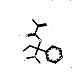 C=C(C)C(=O)OC(CC)(c1ccccc1)N(C)C